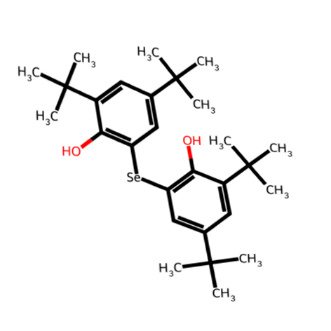 CC(C)(C)c1cc([Se]c2cc(C(C)(C)C)cc(C(C)(C)C)c2O)c(O)c(C(C)(C)C)c1